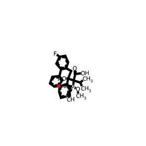 C#CP(=O)(OC)C(C(=O)O)(C(C)C)C(O)(Cc1ccc(F)cc1-c1ccccc1)c1cccnc1